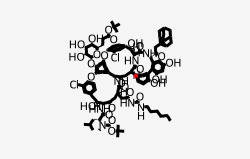 CCCCCCNC(=O)NC(=O)C[C@@H]1CC(=O)[C@H](NC(=O)[C@@H](CC(C)C)N(C)C(=O)OC(C)(C)C)[C@H](O)c2ccc(c(Cl)c2)Oc2cc3cc(c2O[C@@H]2O[C@H](CCC(=O)OC(C)(C)C)[C@@H](O)[C@H](O)[C@H]2O)Oc2ccc(cc2Cl)[C@@H](O)[C@@H]2NC(=O)[C@H](CC(=O)C3NC1=O)c1ccc(O)c(c1)-c1c(O)cc(O)cc1[C@@H](C(=O)CC1C3CC4CC(C3)CC1C4)NC2=O